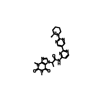 CC(C(=O)Nc1ccnc(-c2cnc(N3CCCC[C@@H]3C)nc2)n1)n1cnc2c1c(=O)n(C)c(=O)n2C